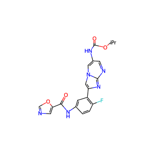 CC(C)OC(=O)Nc1cnc2nc(-c3cc(NC(=O)c4cnco4)ccc3F)cn2c1